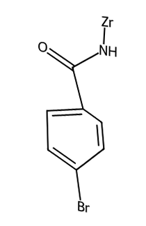 O=C([NH][Zr])c1ccc(Br)cc1